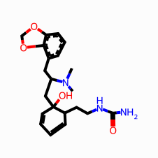 CN(C)C(Cc1cccc2c1OCO2)CC1(O)C=CC=CC1CCNC(N)=O